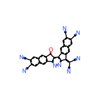 N#CC(C#N)=C1c2cc3cc(C#N)c(C#N)cc3cc2-c2c1nnc1c2C(=O)c2cc3cc(C#N)c(C#N)cc3cc2-1